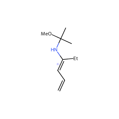 C=C/C=C(\CC)NC(C)(C)OC